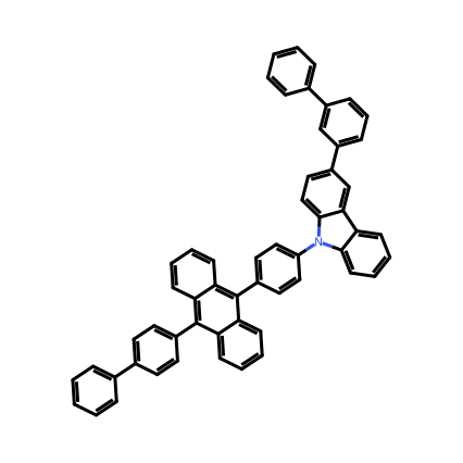 c1ccc(-c2ccc(-c3c4ccccc4c(-c4ccc(-n5c6ccccc6c6cc(-c7cccc(-c8ccccc8)c7)ccc65)cc4)c4ccccc34)cc2)cc1